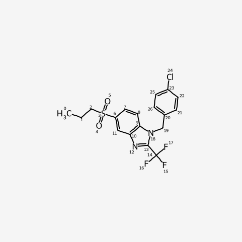 CCCS(=O)(=O)c1ccc2c(c1)nc(C(F)(F)F)n2Cc1ccc(Cl)cc1